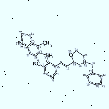 Cc1c(Nc2c(C#N)cncc2/C=C/C2CN(Cc3ccccc3)CCO2)ccc2[nH]ccc12